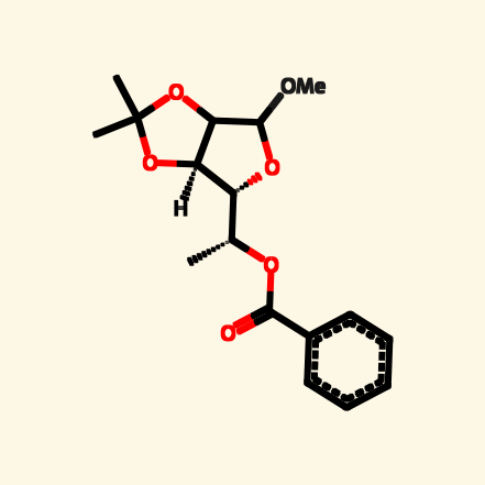 COC1O[C@H]([C@@H](C)OC(=O)c2ccccc2)[C@H]2OC(C)(C)OC12